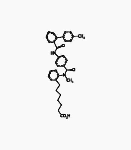 Cc1ccc(-c2ccccc2C(=O)Nc2ccc(C(=O)N(C)c3ccccc3CCCCCCC(=O)O)cc2)cc1